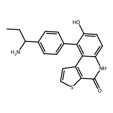 CCC(N)c1ccc(-c2c(O)ccc3[nH]c(=O)c4sccc4c23)cc1